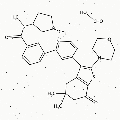 CN1CCC(N(C)C(=O)c2cccc(-c3cc(-c4c(N5CCOCC5)sc5c4CC(C)(C)CC5=O)ccn3)c2)C1.O=CO